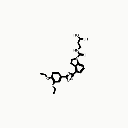 CCOc1ccc(-c2nc(-c3cccc4c3CCN4C(=O)NCCC(O)O)no2)cc1OCC